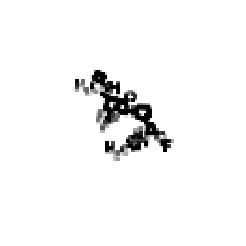 Cn1cn[n+](C[C@]2(c3cccc(N4Cc5c(cc(CNC6(C)CCC6)cc5C(F)(F)F)C4=O)c3)C[C@@H](OCF)C2)c1